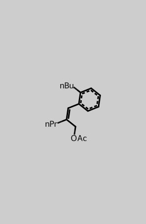 CCCCc1ccccc1C=C(CCC)COC(C)=O